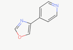 c1cc(-c2cocn2)ccn1